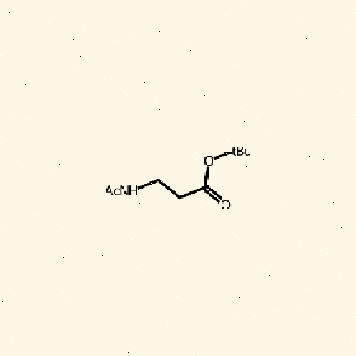 CC(=O)NCCC(=O)OC(C)(C)C